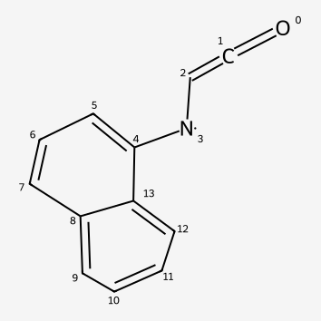 O=C=C[N]c1cccc2ccccc12